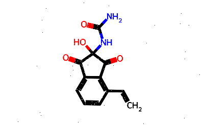 C=Cc1cccc2c1C(=O)C(O)(NC(N)=O)C2=O